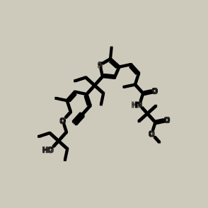 C#C/C=C(\C=C(\C)COCC(O)(CC)CC)C(CC)(CC)c1cc(/C=C\C(C)C(=O)NC(C)(C)C(=O)OC)c(C)s1